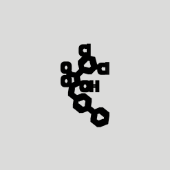 O=C1OC(=Cc2ccc(-c3ccccc3)cc2)C(O)=C1c1cc(Cl)cc(Cl)c1